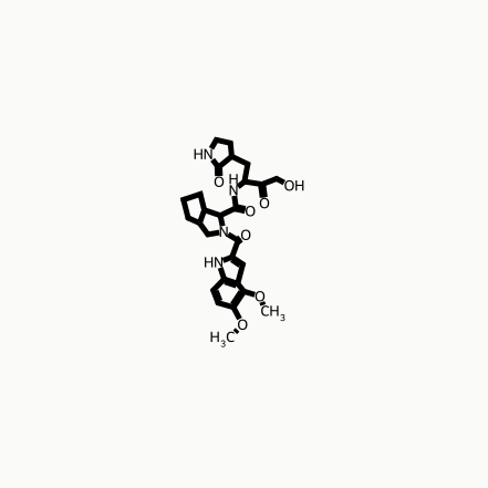 COc1ccc2[nH]c(C(=O)N3CC4CCCC4C3C(=O)NC(CC3CCNC3=O)C(=O)CO)cc2c1OC